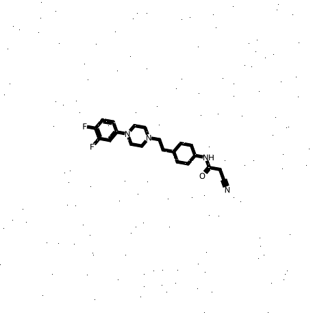 N#CCC(=O)NC1CCC(CCN2CCN(c3ccc(F)c(F)c3)CC2)CC1